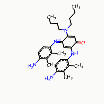 CCCCN(CCCC)C1=CC(=O)C(Nc2ccc(N)c(C)c2C)=C/C1=N\c1ccc(N)c(C)c1C